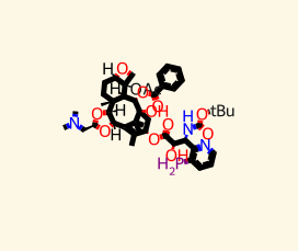 CC(=O)O[C@@]12CO[C@@H]1CC[C@@]1(C)[C@@H]3O[C@H](CN(C)C)O[C@@H]3C3=C(C)[C@@H](OC(=O)[C@H](O)[C@@H](NC(=O)OC(C)(C)C)c4ncccc4P)C[C@@](O)([C@@H](OC(=O)c4ccccc4)[C@@H]12)C3(C)C